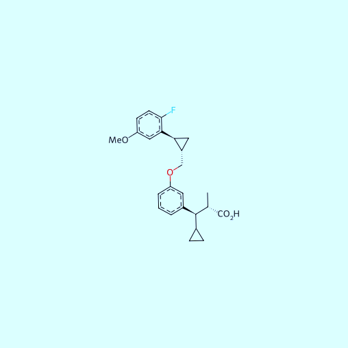 COc1ccc(F)c([C@H]2C[C@@H]2COc2cccc([C@H](C3CC3)[C@H](C)C(=O)O)c2)c1